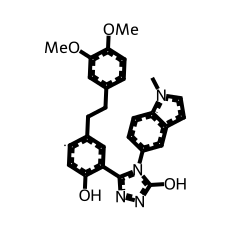 COc1ccc(CCc2[c]cc(O)c(-c3nnc(O)n3-c3ccc4c(ccn4C)c3)c2)cc1OC